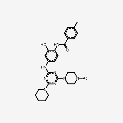 CC(=O)N1CCN(c2nc(Nc3ccc(NC(=O)c4ccc(C)cc4)c(O)c3)nc(N3CCCCC3)n2)CC1